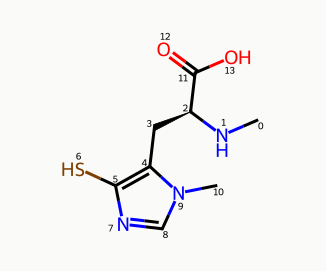 CN[C@@H](Cc1c(S)ncn1C)C(=O)O